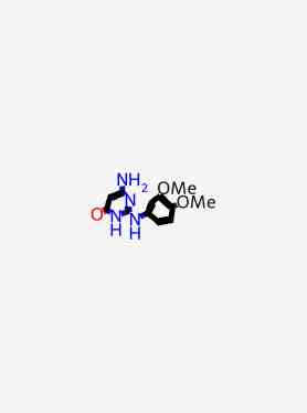 COc1ccc(Nc2nc(N)cc(=O)[nH]2)cc1OC